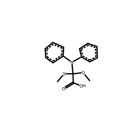 COC(SC)(C(=O)O)N(c1ccccc1)c1ccccc1